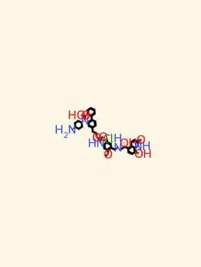 COc1cc(NC(=O)OCCc2ccc(-c3ccccc3)c(N(C(=O)O)[C@H]3CC[C@H](N)CC3)c2)c(Cl)cc1CNC[C@H](O)c1ccc(O)c2[nH]c(=O)ccc12